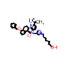 CC(C)c1ccc(N(Cc2cnn(CCCCCCCO)c2)C(=O)C2CCCc3c(OCc4ccccc4)cccc32)cn1